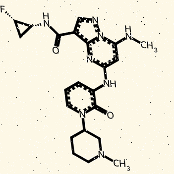 CNc1cc(Nc2cccn(C3CCCN(C)C3)c2=O)nc2c(C(=O)N[C@@H]3C[C@@H]3F)cnn12